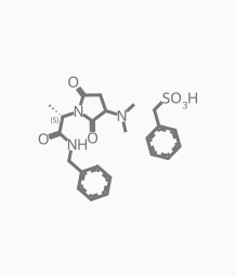 C[C@@H](C(=O)NCc1ccccc1)N1C(=O)CC(N(C)C)C1=O.O=S(=O)(O)Cc1ccccc1